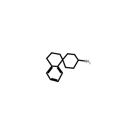 NC1CCC2(CCCc3ccccc32)CC1